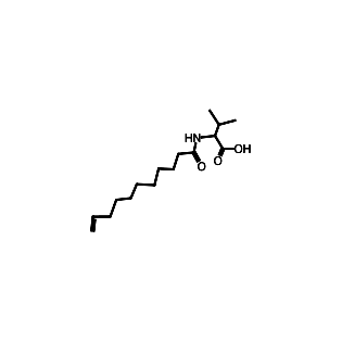 C=CCCCCCCCCC(=O)NC(C(=O)O)C(C)C